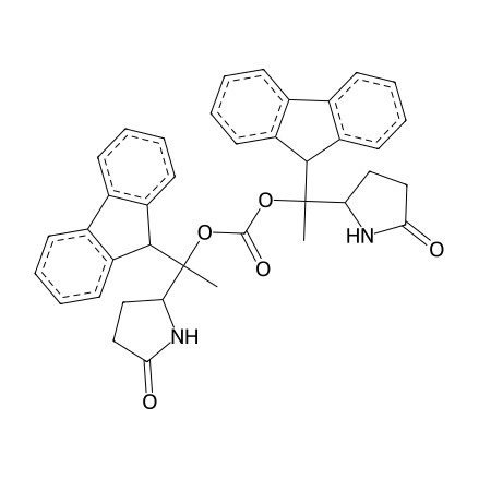 CC(OC(=O)OC(C)(C1CCC(=O)N1)C1c2ccccc2-c2ccccc21)(C1CCC(=O)N1)C1c2ccccc2-c2ccccc21